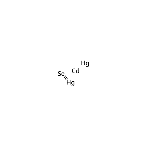 [Cd].[Hg].[Se]=[Hg]